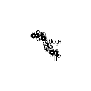 O=C(O)C[C@@H](C(=O)Nc1ccc2c(N3C(=O)c4ccccc4C3=O)noc2c1)[C@H]1OCCN(c2ccc3[nH]c(=O)ccc3c2)C1=O